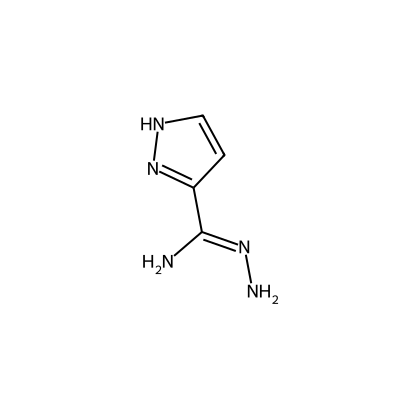 NN=C(N)c1cc[nH]n1